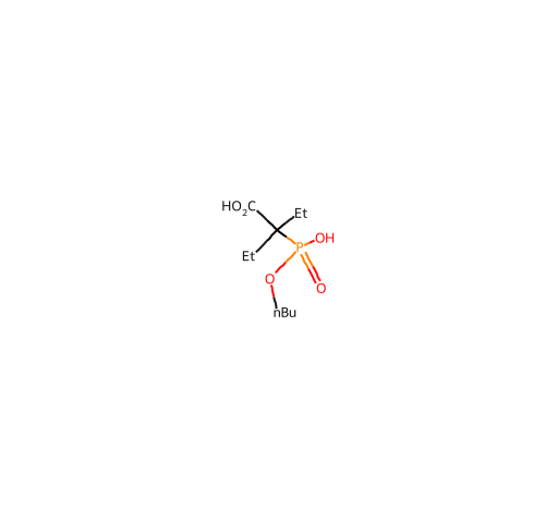 CCCCOP(=O)(O)C(CC)(CC)C(=O)O